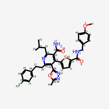 COc1ccc(CNC(=O)c2ccc(-c3c(C(N)=O)c(CC(C)C)nc(CCc4ccc(F)cc4)c3-c3nnc(C)o3)s2)cc1